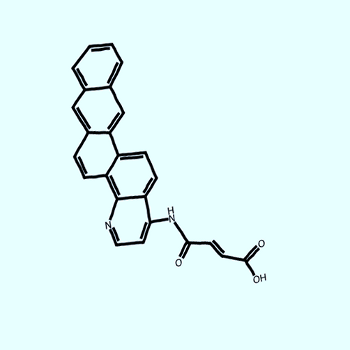 O=C(O)C=CC(=O)Nc1ccnc2c1ccc1c3cc4ccccc4cc3ccc12